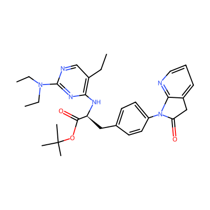 CCc1cnc(N(CC)CC)nc1N[C@@H](Cc1ccc(N2C(=O)Cc3cccnc32)cc1)C(=O)OC(C)(C)C